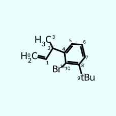 C=C[C](C)c1cccc(C(C)(C)C)c1Br